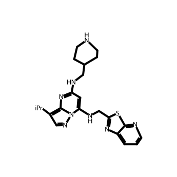 CC(C)c1cnn2c(NCc3nc4cccnc4s3)cc(NCC3CCNCC3)nc12